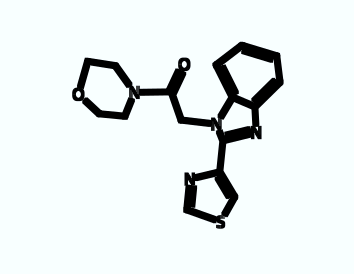 O=C(Cn1c(-c2cscn2)nc2ccccc21)N1CCOCC1